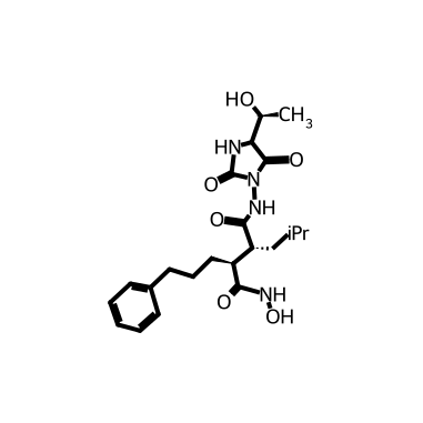 CC(C)C[C@@H](C(=O)NN1C(=O)NC([C@H](C)O)C1=O)[C@H](CCCc1ccccc1)C(=O)NO